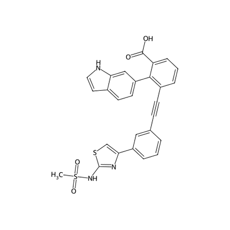 CS(=O)(=O)Nc1nc(-c2cccc(C#Cc3cccc(C(=O)O)c3-c3ccc4cc[nH]c4c3)c2)cs1